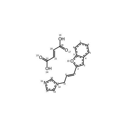 C(=Cc1cc2ccccc2o1)Cn1ccnc1.O=C(O)C=CC(=O)O